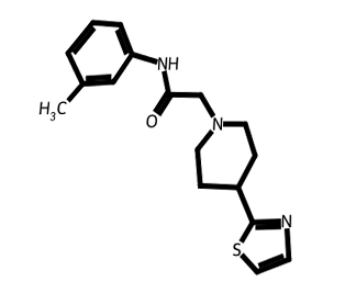 Cc1cccc(NC(=O)CN2CCC(c3nccs3)CC2)c1